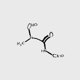 CN(C=O)C(=O)NC=O